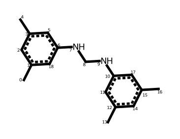 Cc1cc(C)cc(NCNc2cc(C)cc(C)c2)c1